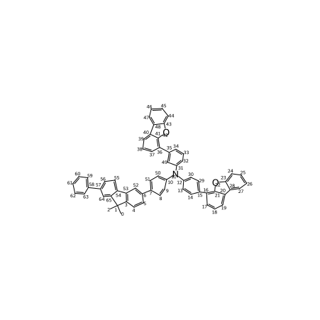 CC1(C)c2ccc(-c3ccc(N(c4ccc(-c5cccc6c5oc5ccccc56)cc4)c4cccc(-c5cccc6c5oc5ccccc56)c4)cc3)cc2-c2ccc(-c3ccccc3)cc21